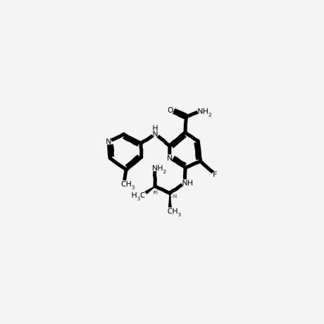 Cc1cncc(Nc2nc(N[C@@H](C)[C@@H](C)N)c(F)cc2C(N)=O)c1